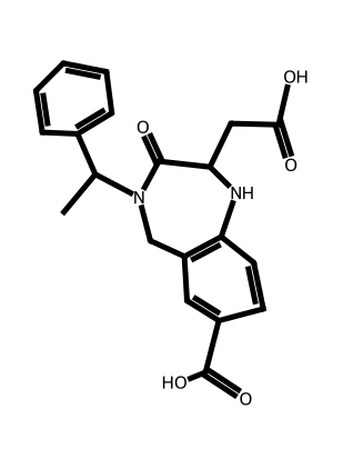 CC(c1ccccc1)N1Cc2cc(C(=O)O)ccc2NC(CC(=O)O)C1=O